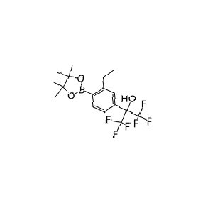 CCc1cc(C(O)(C(F)(F)F)C(F)(F)F)ccc1B1OC(C)(C)C(C)(C)O1